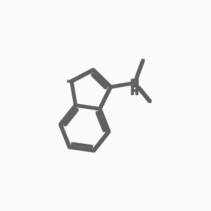 C[SiH](C)C1=C[CH]c2ccccc21